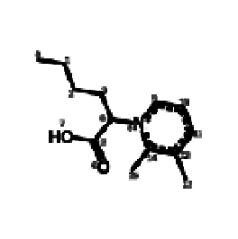 CCCCC(C(=O)O)[n+]1cccc(C)c1C